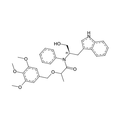 COc1cc(COC(C)C(=O)N(c2ccccc2)[C@@H](CO)Cc2c[nH]c3ccccc23)cc(OC)c1OC